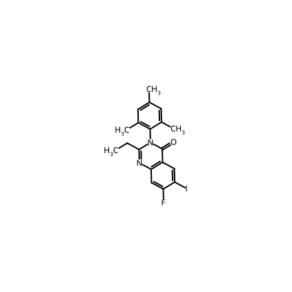 CCc1nc2cc(F)c(I)cc2c(=O)n1-c1c(C)cc(C)cc1C